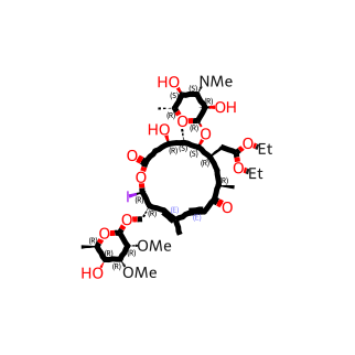 CCOC(C[C@H]1C[C@@H](C)C(=O)/C=C/C(C)=C/[C@H](COC2O[C@H](C)[C@@H](O)[C@@H](OC)[C@H]2OC)[C@@H](I)OC(=O)C[C@@H](O)[C@H](C)[C@H]1O[C@@H]1O[C@H](C)[C@@H](O)[C@H](NC)[C@H]1O)OCC